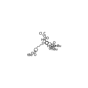 CCCCOC(=O)[C@H](Cc1ccc(OCCCCC2CCN(C(=O)OC(C)(C)C)CC2)c(NC(=O)OCC(Cl)(Cl)Cl)c1)NS(=O)(=O)CCCC